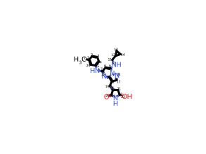 Cc1cccc(Nc2cc(NCC3CC3)n3ncc(/C=C4\CC(O)NC4=O)c3n2)c1